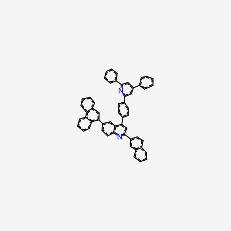 c1ccc(-c2cc(-c3ccccc3)nc(-c3ccc(-c4cc(-c5ccc6ccccc6c5)nc5ccc(-c6cc7ccccc7c7ccccc67)cc45)cc3)c2)cc1